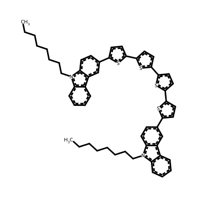 CCCCCCCCn1c2ccccc2c2cc(-c3ccc(-c4ccc(-c5ccc(-c6ccc(-c7ccc8c(c7)c7ccccc7n8CCCCCCCC)s6)s5)s4)s3)ccc21